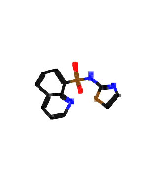 O=S(=O)(Nc1n[c]cs1)c1cccc2cccnc12